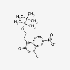 CC(C)(C)[Si](C)(C)OCCn1c(=O)cc(Cl)c2cc([N+](=O)[O-])ccc21